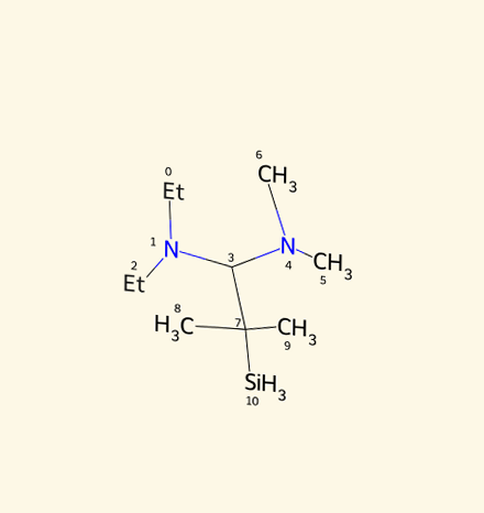 CCN(CC)C(N(C)C)C(C)(C)[SiH3]